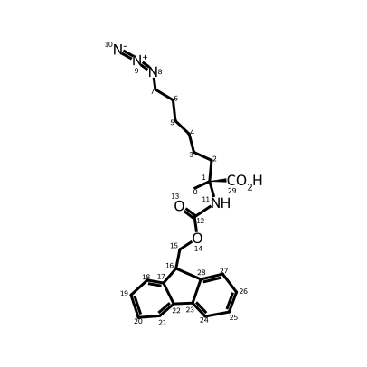 C[C@](CCCCCCN=[N+]=[N-])(NC(=O)OCC1c2ccccc2-c2ccccc21)C(=O)O